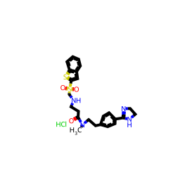 CN(CCc1ccc(C2=NCCN2)cc1)C(=O)CCNCS(=O)(=O)c1cc2ccccc2s1.Cl